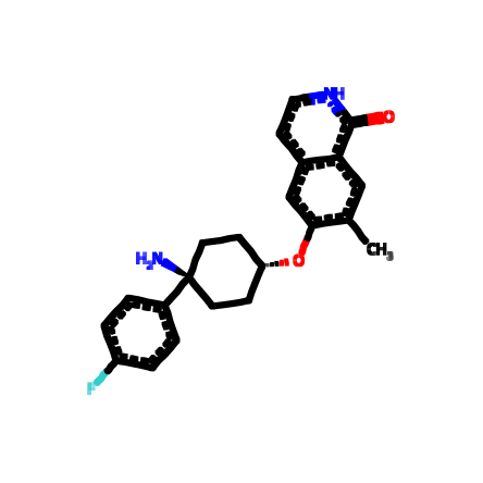 Cc1cc2c(=O)[nH]ccc2cc1O[C@H]1CC[C@@](N)(c2ccc(F)cc2)CC1